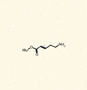 CC(C)(C)OC(=O)/C=C/CCN